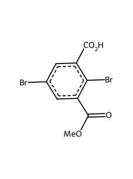 COC(=O)c1cc(Br)cc(C(=O)O)c1Br